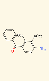 CCCCCCCCc1c(N)ccc(C(=O)c2ccccc2)c1CCCCCCCC